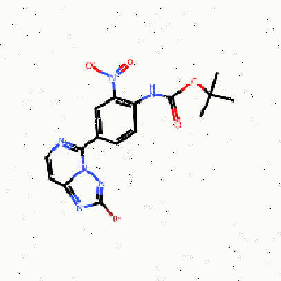 CC(C)(C)OC(=O)Nc1ccc(-c2nccc3nc(Br)nn23)cc1[N+](=O)[O-]